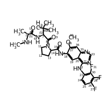 CN[C@@H](C)C(=O)N[C@H](C(=O)N1CCCC1C(=O)Nc1cc2c(Nc3ccc(F)c(F)c3F)ncnc2cc1OC)C(C)(C)C